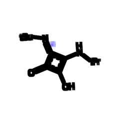 CC(C)Nc1c(O)c(=O)/c1=N\C(C)(C)C